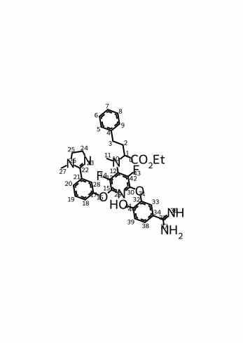 CCOC(=O)C(CCc1ccccc1)N(C)c1c(F)c(Oc2cccc(C3=NCCN3C)c2)nc(Oc2cc(C(=N)N)ccc2O)c1F